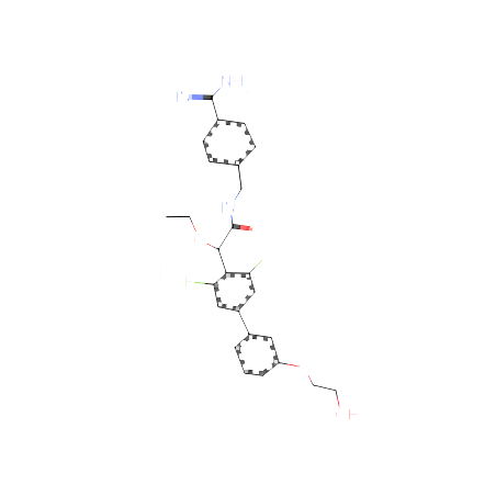 CCOC(C(=O)NCc1ccc(C(=N)N)cc1)c1c(F)cc(-c2cccc(OCCO)c2)cc1F.Cl